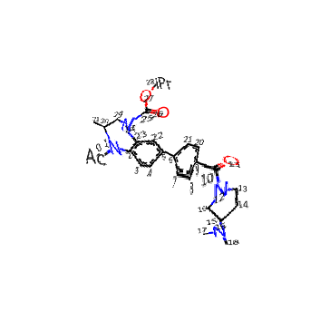 CC(=O)N1c2ccc(-c3ccc(C(=O)N4CC[C@@H](N(C)C)C4)cc3)cc2N(C(=O)OC(C)C)C[C@@H]1C